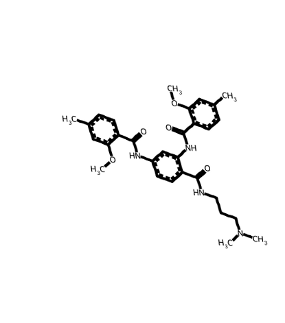 COc1cc(C)ccc1C(=O)Nc1ccc(C(=O)NCCCN(C)C)c(NC(=O)c2ccc(C)cc2OC)c1